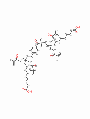 C=C(C)C(=O)CCC(CCCCCCCCC(=O)O)(CCC(=O)C(C)(C)C)CCc1ccc(C(=O)C(C)(C)CCC(CCCCCCCCC(=O)O)(CCC(=O)C(=C)C)CCC(=O)C(=C)C)cc1